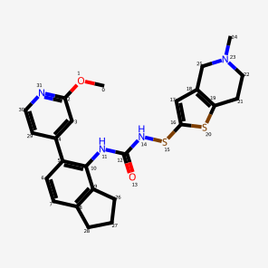 COc1cc(-c2ccc3c(c2NC(=O)NSc2cc4c(s2)CCN(C)C4)CCC3)ccn1